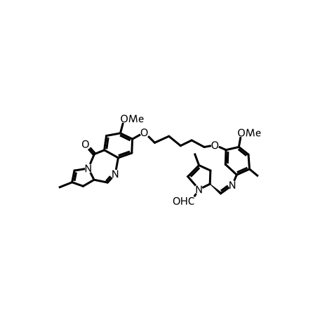 COc1cc2c(cc1OCCCCCOc1cc(/N=C\[C@@H]3CC(C)=CN3C=O)c(C)cc1OC)N=CC1CC(C)=CN1C2=O